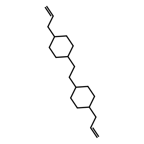 C=CCC1CCC(CCC2CCC(CC=C)CC2)CC1